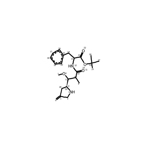 C=C1CN[C@H](C(OC)C(C)C(=O)NC(Cc2ccccc2)C(=O)OC(C)(C)C)C1